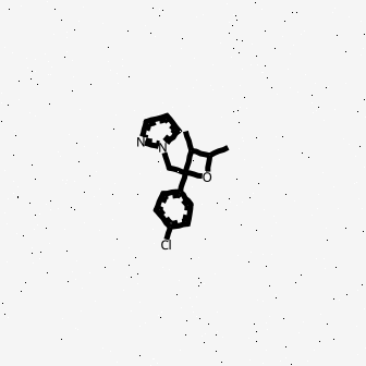 CC1OC(Cn2cccn2)(c2ccc(Cl)cc2)C1C